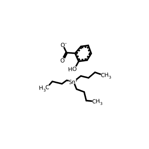 CCC[CH2][Sn+]([CH2]CCC)[CH2]CCC.O=C([O-])c1ccccc1O